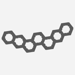 c1ccc2cc3c(ccc4c3ccc3c5cc6ccccc6cc5ccc34)cc2c1